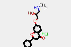 CNCC(O)COc1ccc2c(=O)cc(-c3ccccc3)oc2c1.Cl